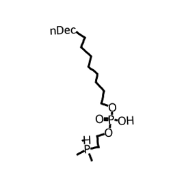 CCCCCCCCCCCCCCCCCCOP(=O)(O)OCC[PH](C)(C)C